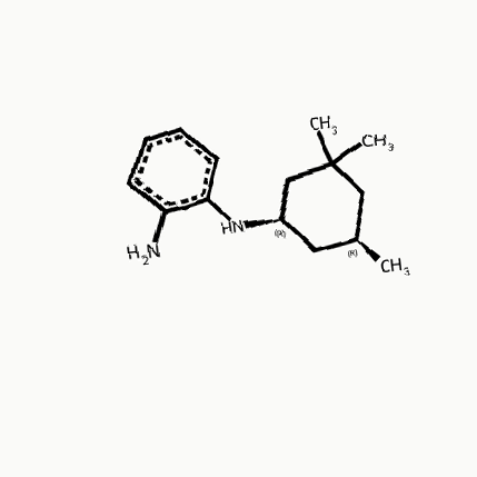 C[C@H]1C[C@@H](Nc2ccccc2N)CC(C)(C)C1